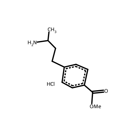 COC(=O)c1ccc(CCC(C)N)cc1.Cl